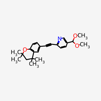 COC(OC)c1ccc(C#Cc2ccc3c(c2)C(C)(C)CC(C)(C)O3)nc1